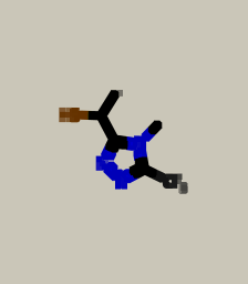 [CH2]C(S)c1nnc(C(F)(F)F)n1C